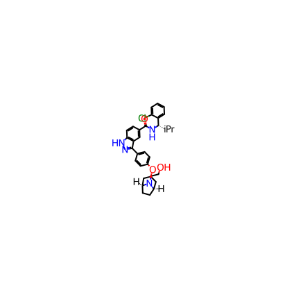 CC(C)[C@H](NC(=O)c1ccc2[nH]nc(-c3ccc(O[C@H]4C[C@H]5CC[C@@H](C4)N5CCO)cc3)c2c1)c1ccccc1Cl